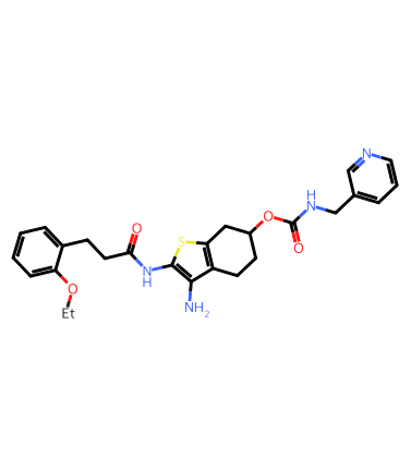 CCOc1ccccc1CCC(=O)Nc1sc2c(c1N)CCC(OC(=O)NCc1cccnc1)C2